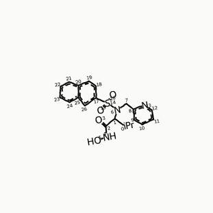 CC(C)C(C(=O)NO)N(Cc1ccccn1)S(=O)(=O)c1ccc2ccccc2c1